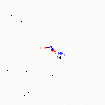 N.O=NO.[Pd]